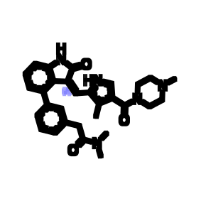 Cc1c(C(=O)N2CCN(C)CC2)c[nH]c1/C=C1\C(=O)Nc2cccc(-c3cccc(CC(=O)N(C)C)c3)c21